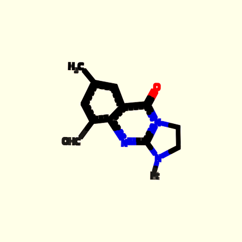 CCN1CCn2c1nc1c(C=O)cc(C)cc1c2=O